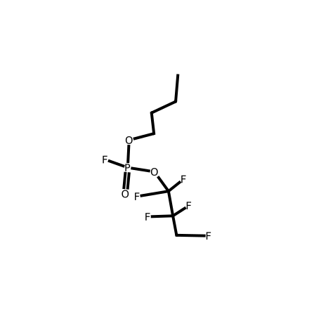 CCCCOP(=O)(F)OC(F)(F)C(F)(F)CF